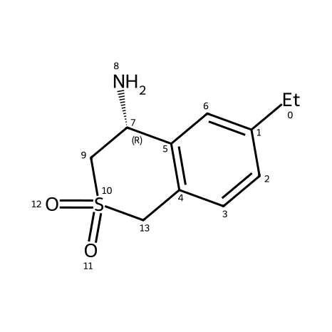 CCc1ccc2c(c1)[C@@H](N)CS(=O)(=O)C2